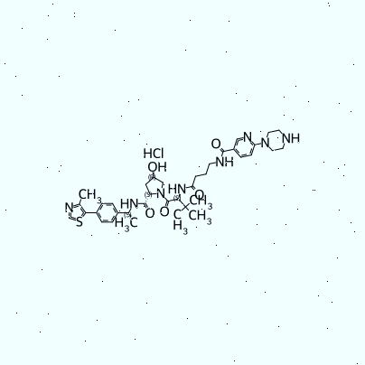 Cc1ncsc1-c1ccc([C@H](C)NC(=O)[C@@H]2C[C@@H](O)CN2C(=O)[C@@H](NC(=O)CCCNC(=O)c2ccc(N3CCNCC3)nc2)C(C)(C)C)cc1.Cl